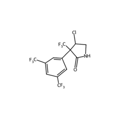 O=C1NCC(Cl)C1(c1cc(C(F)(F)F)cc(C(F)(F)F)c1)C(F)(F)F